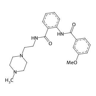 COc1cccc(C(=O)Nc2ccccc2C(=O)NCCN2CCN(C)CC2)c1